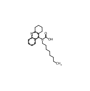 CCCCCCCCN(C(=O)O)c1c2c(nc3ccccc13)CCCC2